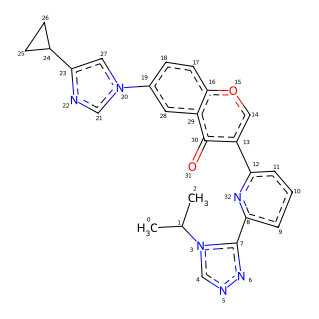 CC(C)n1cnnc1-c1cccc(-c2coc3ccc(-n4cnc(C5CC5)c4)cc3c2=O)n1